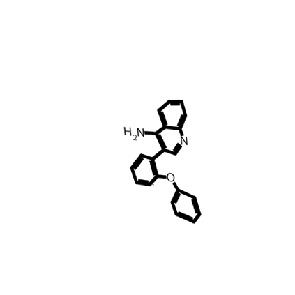 Nc1c(-c2ccc[c]c2Oc2ccccc2)cnc2ccccc12